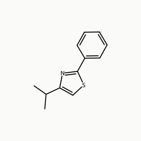 CC(C)c1csc(-c2cc[c]cc2)n1